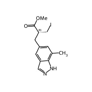 COC(=O)[C@H](CI)Cc1cc(C)c2[nH]ncc2c1